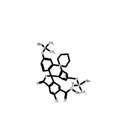 CC(C)(C)OC(=O)c1cc2c(cc1Cl)C(=O)OC21c2ccc(O[Si](C)(C)C(C)(C)C)cc2[Si]2(CCCCC2)c2cc(O[Si](C)(C)C(C)(C)C)ccc21